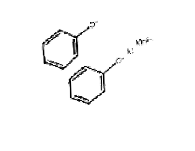 [Mn+2].[N].[O-]c1ccccc1.[O-]c1ccccc1